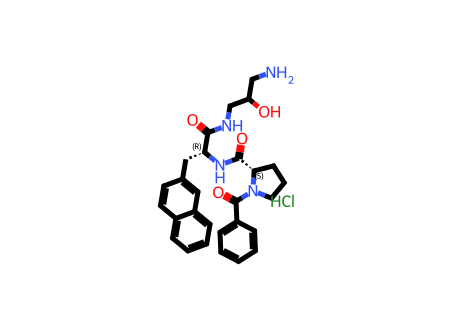 Cl.NCC(O)CNC(=O)[C@@H](Cc1ccc2ccccc2c1)NC(=O)[C@@H]1CCCN1C(=O)c1ccccc1